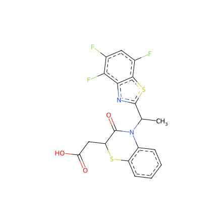 CC(c1nc2c(F)c(F)cc(F)c2s1)N1C(=O)C(CC(=O)O)Sc2ccccc21